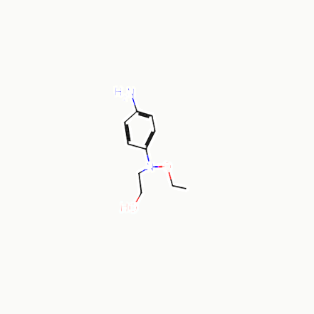 CCON(CCO)c1ccc(N)cc1